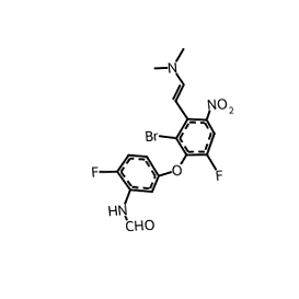 CN(C)C=Cc1c([N+](=O)[O-])cc(F)c(Oc2ccc(F)c(NC=O)c2)c1Br